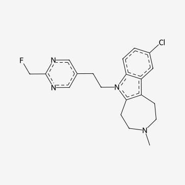 CN1CCc2c(n(CCc3cnc(CF)nc3)c3ccc(Cl)cc23)CC1